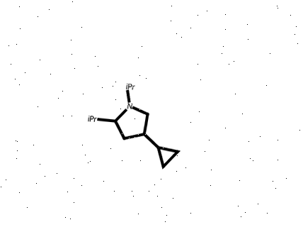 CC(C)C1CC(C2CC2)CN1C(C)C